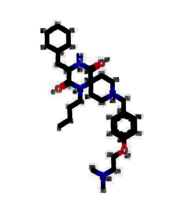 CCCCN1C(=O)C(CC2CCCCC2)NC(=O)C12CCN(Cc1ccc(OCCN(C)C)cc1)CC2